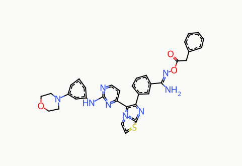 N/C(=N\OC(=O)Cc1ccccc1)c1cccc(-c2nc3sccn3c2-c2ccnc(Nc3cccc(N4CCOCC4)c3)n2)c1